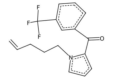 C=CCCCn1cccc1C(=O)c1cccc(C(F)(F)F)c1